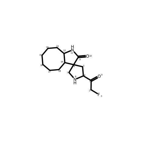 O=C(CF)C1CC2(CN1)C(=O)NC1CCCCCCC12